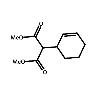 COC(=O)C(C(=O)OC)C1C=CCCC1